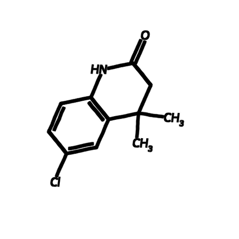 CC1(C)CC(=O)Nc2ccc(Cl)cc21